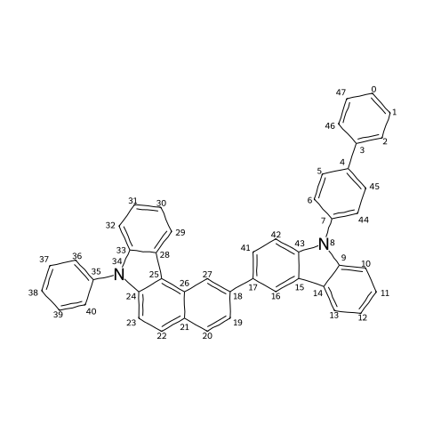 c1ccc(-c2ccc(-n3c4ccccc4c4cc(-c5ccc6ccc7c(c6c5)c5ccccc5n7-c5ccccc5)ccc43)cc2)cc1